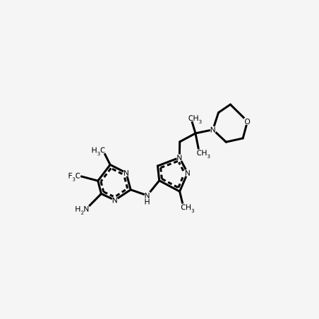 Cc1nn(CC(C)(C)N2CCOCC2)cc1Nc1nc(C)c(C(F)(F)F)c(N)n1